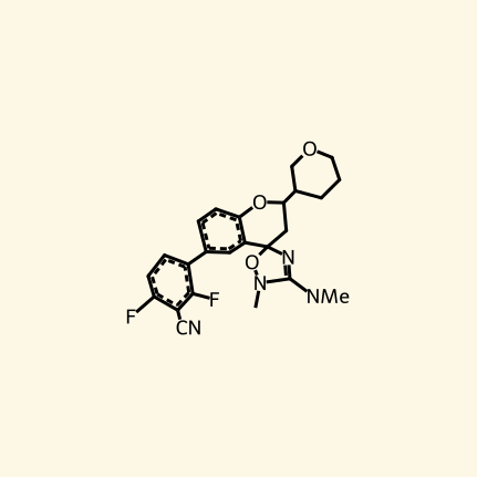 CNC1=NC2(CC(C3CCCOC3)Oc3ccc(-c4ccc(F)c(C#N)c4F)cc32)ON1C